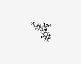 COCc1ccc(C(NC(=O)O)C(=O)Nc2cc(F)c([Si](C)(C)C)c(F)c2)cc1